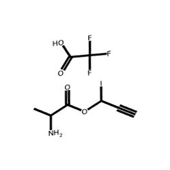 C#CC(I)OC(=O)C(C)N.O=C(O)C(F)(F)F